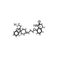 CCC(=O)C1(c2ccccc2)CCN(CCCOc2cccc3c2NC(=O)CC3)CC1